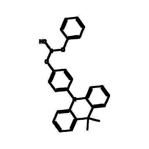 CC1(C)c2ccccc2N(c2ccc(OB(O)Oc3ccccc3)cc2)c2ccccc21